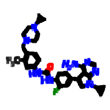 Nc1ncnc2c1c(-c1ccc(NC(=O)Nc3ccc(CN4CCN(C5CC5)CC4)c(C(F)(F)F)c3)c(F)c1)cn2C1CC1